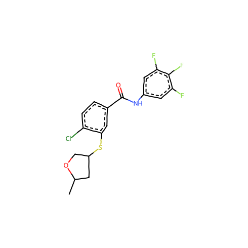 CC1CC(Sc2cc(C(=O)Nc3cc(F)c(F)c(F)c3)ccc2Cl)CO1